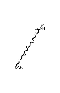 COCCOCCOCCOCCOCCOCC(=O)NC(C)C